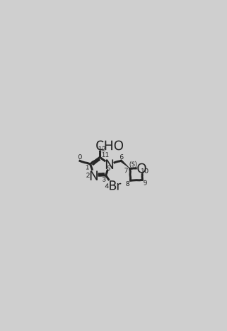 Cc1nc(Br)n(C[C@@H]2CCO2)c1C=O